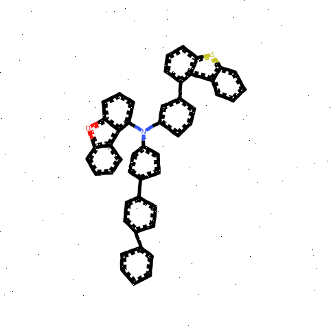 c1ccc(-c2ccc(-c3ccc(N(c4cccc(-c5cccc6sc7ccccc7c56)c4)c4cccc5oc6ccccc6c45)cc3)cc2)cc1